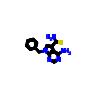 NC(=S)c1cn(Cc2ccccc2)c2ncnc(N)c12